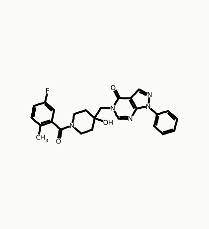 Cc1ccc(F)cc1C(=O)N1CCC(O)(Cn2cnc3c(cnn3-c3ccccc3)c2=O)CC1